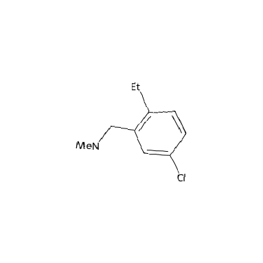 CCc1ccc(Cl)cc1CNC